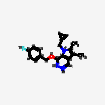 Cc1c(C)n(CC2CC2)c2c(OCc3ccc(F)cc3)nncc12